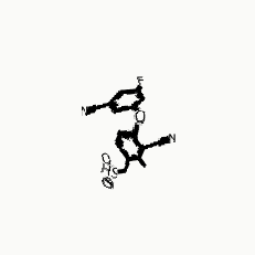 Cc1c(C[SH](=O)=O)ccc(Oc2cc(F)cc(C#N)c2)c1C#N